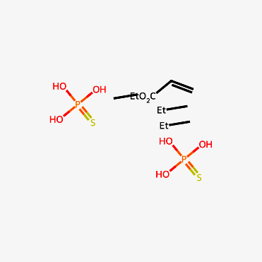 C=CC(=O)OCC.CC.CCC.CCC.OP(O)(O)=S.OP(O)(O)=S